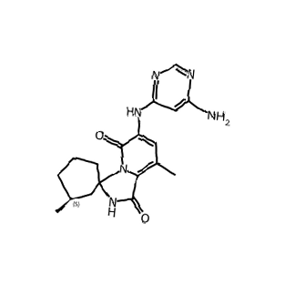 Cc1cc(Nc2cc(N)ncn2)c(=O)n2c1C(=O)NC21CCC[C@H](C)C1